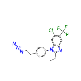 CCc1nc2cc(C(F)(F)F)c(Cl)cc2n1-c1ccc(CCN=[N+]=[N-])cc1